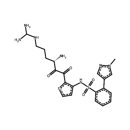 Cn1cc(-c2ccccc2S(=O)(=O)Nc2ccsc2C(=O)C(=O)[C@@H](N)CCCNC(N)N)cn1